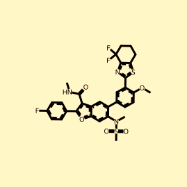 CNC(=O)c1c(-c2ccc(F)cc2)oc2cc(N(C)S(C)(=O)=O)c(-c3ccc(OC)c(-c4nc5c(s4)CCCC5(F)F)c3)cc12